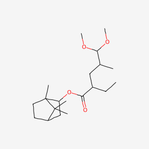 CCC(CC(C)C(OC)OC)C(=O)OC1CC2CCC1(C)C2(C)C